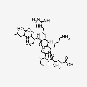 CC[C@H](C)[C@H](NC(=O)[C@@H](N)CCC(=O)O)C(=O)N[C@@H](CCCCN)C(=O)N[C@@H](CCCNC(=N)N)C(=O)N[C@@H](CS)C(=O)N[C@@H](CC(C)C)C(=O)O